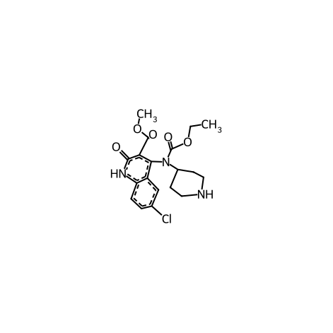 CCOC(=O)N(c1c(C(=O)OC)c(=O)[nH]c2ccc(Cl)cc12)C1CCNCC1